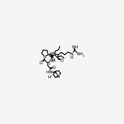 CCCC(CCC)C(=O)N[C@@H](CC(=O)N[C@@H]1CN2CCC1CC2)C(=O)N1CCCC1C(=O)NC(C=O)CCCNC(=N)N